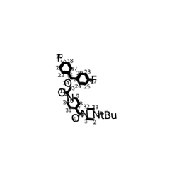 CC(C)(C)N1CCN(C(=O)C2CCN(C(=O)COC(c3ccc(F)cc3)c3ccc(F)cc3)CC2)CC1